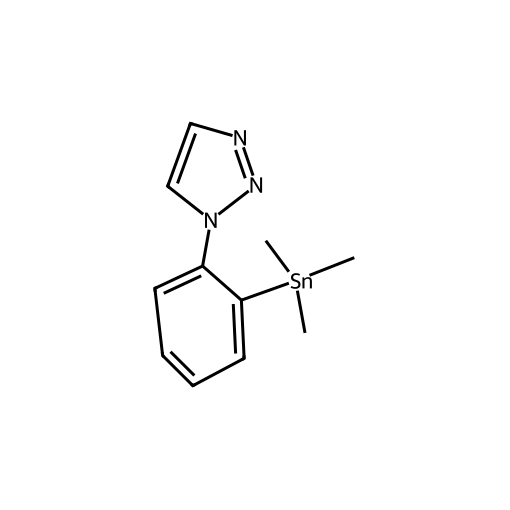 [CH3][Sn]([CH3])([CH3])[c]1ccccc1-n1ccnn1